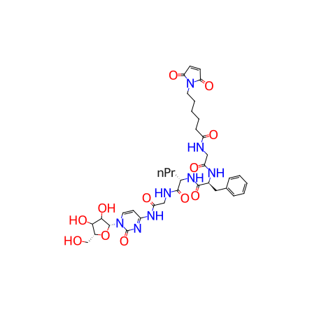 CCC[C@H](NC(=O)[C@H](Cc1ccccc1)NC(=O)CNC(=O)CCCCCN1C(=O)C=CC1=O)C(=O)NCC(=O)Nc1ccn([C@@H]2O[C@H](CO)C(O)C2O)c(=O)n1